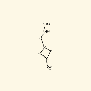 O=CNCC1CC(O)C1